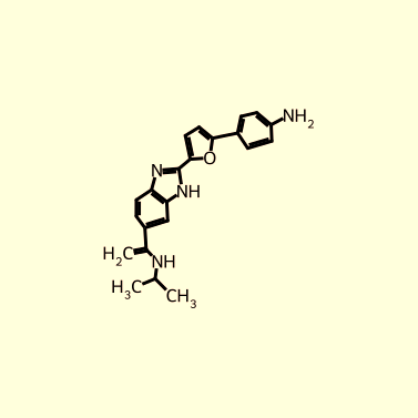 C=C(NC(C)C)c1ccc2nc(-c3ccc(-c4ccc(N)cc4)o3)[nH]c2c1